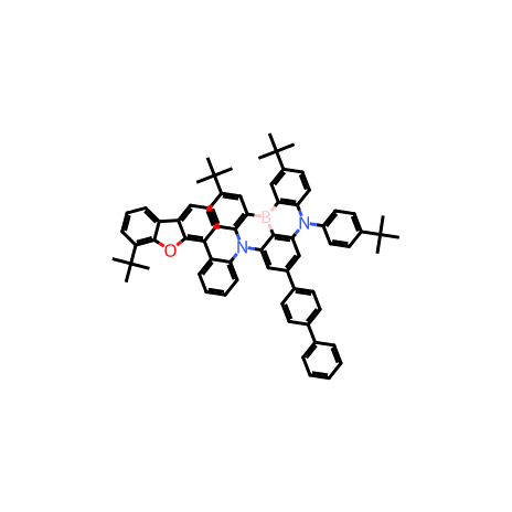 CC(C)(C)c1ccc(N2c3ccc(C(C)(C)C)cc3B3c4cc(C(C)(C)C)ccc4N(c4ccccc4-c4cccc5c4oc4c(C(C)(C)C)cccc45)c4cc(-c5ccc(-c6ccccc6)cc5)cc2c43)cc1